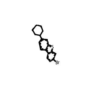 Brc1ccc2c(c1)sc1cc(C3CCCCC3)ccc12